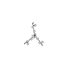 C=CC(=O)OCCOCOC(CC)(OCOCCOC(=O)C=C)OCOCCOC(=O)C=C